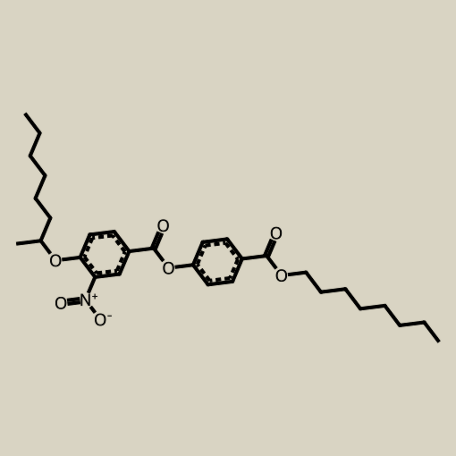 CCCCCCCCOC(=O)c1ccc(OC(=O)c2ccc(OC(C)CCCCCC)c([N+](=O)[O-])c2)cc1